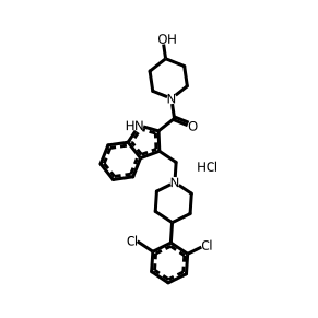 Cl.O=C(c1[nH]c2ccccc2c1CN1CCC(c2c(Cl)cccc2Cl)CC1)N1CCC(O)CC1